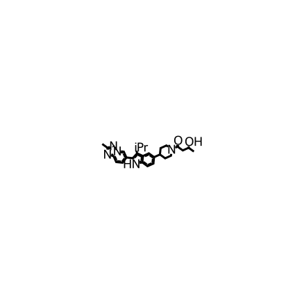 Cc1nc2ccc(-c3[nH]c4ccc(C5CCN(C(=O)CC(C)O)CC5)cc4c3C(C)C)cn2n1